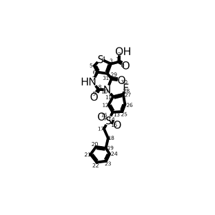 O=C(O)c1scc2[nH]c(=O)n(-c3cc(S(=O)(=O)CCc4ccccc4)ccc3F)c(=O)c12